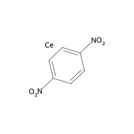 O=[N+]([O-])c1ccc([N+](=O)[O-])cc1.[Ce]